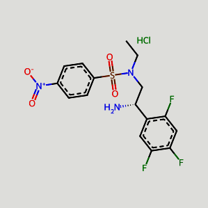 CCN(C[C@@H](N)c1cc(F)c(F)cc1F)S(=O)(=O)c1ccc([N+](=O)[O-])cc1.Cl